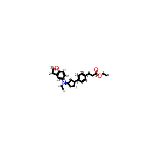 CCOC(=O)CCc1ccc(C2CCC(N(CC)c3ccc4c(c3)CCO4)C2)cc1